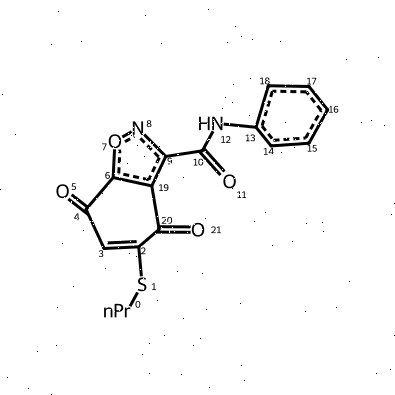 CCCSC1=CC(=O)c2onc(C(=O)Nc3ccccc3)c2C1=O